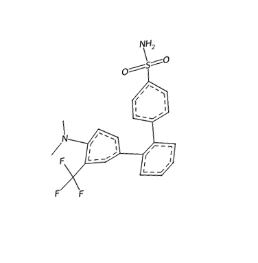 CN(C)c1ccc(-c2ccccc2-c2ccc(S(N)(=O)=O)cc2)cc1C(F)(F)F